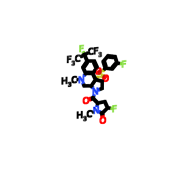 CN1CC2N(C(=O)C3CC(F)C(=O)N3C)CCC2(S(=O)(=O)c2cccc(F)c2)c2ccc(C(F)(C(F)(F)F)C(F)(F)F)cc21